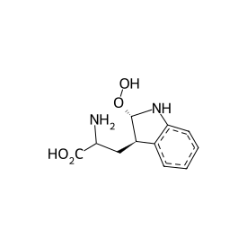 NC(C[C@@H]1c2ccccc2N[C@H]1OO)C(=O)O